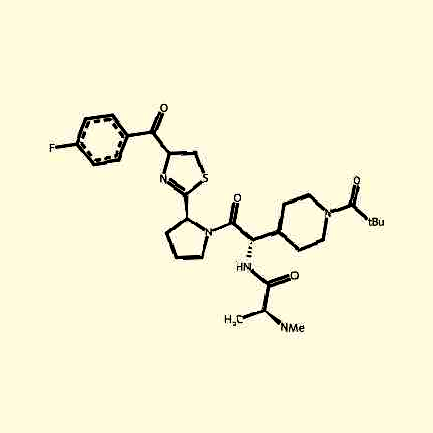 CN[C@@H](C)C(=O)N[C@H](C(=O)N1CCC[C@H]1C1=NC(C(=O)c2ccc(F)cc2)CS1)C1CCN(C(=O)C(C)(C)C)CC1